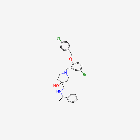 C[C@@H](NCC1(O)CCN(Cc2cc(Br)ccc2OCc2ccc(Cl)cc2)CC1)c1ccccc1